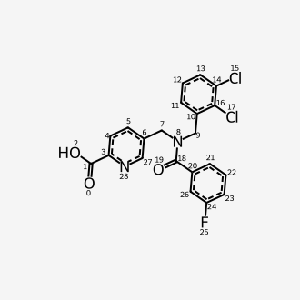 O=C(O)c1ccc(CN(Cc2cccc(Cl)c2Cl)C(=O)c2cccc(F)c2)cn1